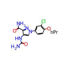 CCCOc1ccc(-n2cc(NC(N)=O)c(C(N)=O)n2)cc1Cl